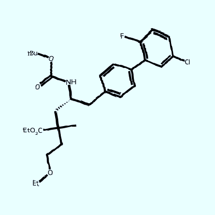 CCOCCC(C)(C[C@@H](Cc1ccc(-c2cc(Cl)ccc2F)cc1)NC(=O)OC(C)(C)C)C(=O)OCC